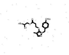 CCCCC(CC)COC(=O)CCSc1c(C)cnn1Cc1ccc(OC)cc1